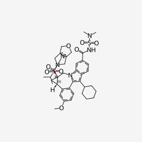 COc1ccc2c(c1)[C@@H]1C[C@]1(C(=O)N1CC34COCC3(C1)CN(S(=O)(=O)C(C)C)C4)Cn1c-2c(C2CCCCC2)c2ccc(C(=O)NS(=O)(=O)N(C)C)cc21